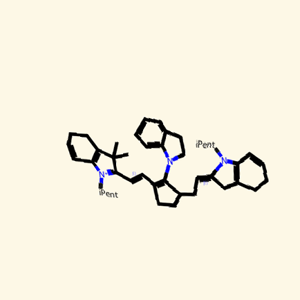 CCCC(C)N1C2=C(CCC=C2)C/C1=C\CC1CCC(/C=C/C2=[N+](C(C)CCC)C3=C(CCC=C3)C2(C)C)=C1N1CCc2ccccc21